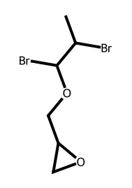 CC(Br)C(Br)OCC1CO1